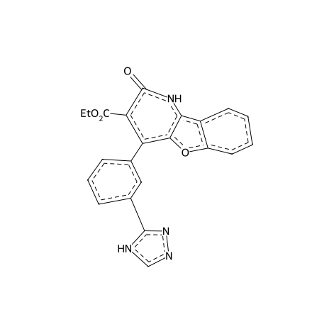 CCOC(=O)c1c(-c2cccc(-c3nnc[nH]3)c2)c2oc3ccccc3c2[nH]c1=O